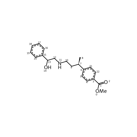 COC(=O)c1ccc([C@H](C)CCNCC(O)c2ccccc2)cc1